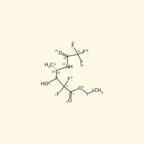 CCOC(=O)C(F)(F)C(O)[C@H](C)NC(=O)C(F)(F)F